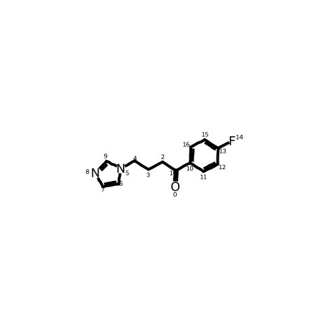 O=C(CCCn1ccnc1)c1ccc(F)cc1